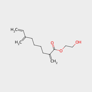 C=CC(=C)CCCCC(=C)C(=O)OCCO